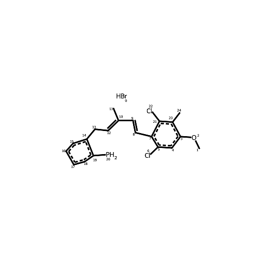 Br.COc1cc(Cl)c(C=CC(C)=CCc2ccccc2P)c(Cl)c1C